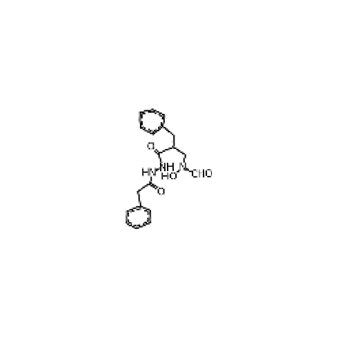 O=CN(O)CC(Cc1ccccc1)C(=O)NNC(=O)Cc1ccccc1